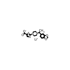 CC(c1ccc2c(c1)OCO2)N1CCN(c2ncc(C(=O)[O-])s2)CC1.[Li+]